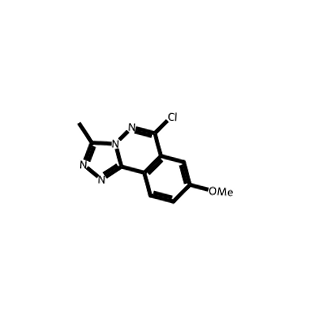 COc1ccc2c(c1)c(Cl)nn1c(C)nnc21